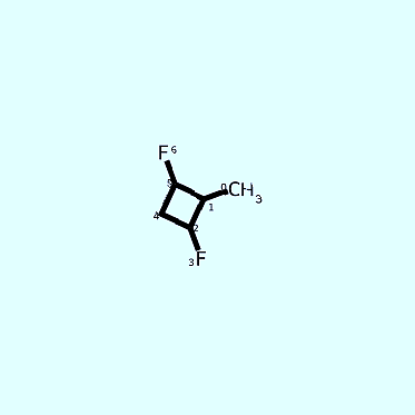 CC1C(F)CC1F